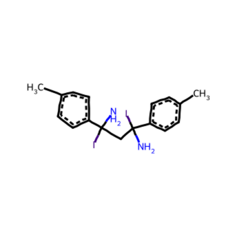 Cc1ccc(C(N)(I)CC(N)(I)c2ccc(C)cc2)cc1